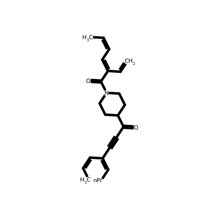 C=C/C(=C\C=C/C)C(=O)N1CCC(C(=O)C#CC(/C=C\C)=C/CCC)CC1